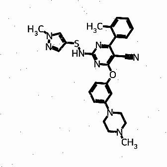 Cc1ccccc1-c1nc(NSc2cnn(C)c2)nc(Oc2cccc(N3CCN(C)CC3)c2)c1C#N